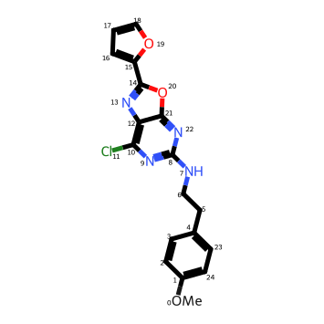 COc1ccc(CCNc2nc(Cl)c3nc(-c4ccco4)oc3n2)cc1